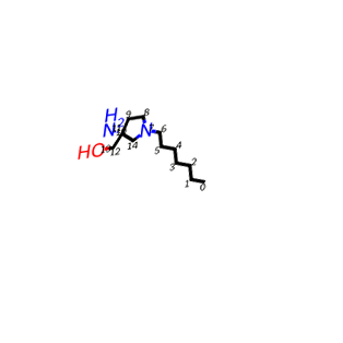 CCCCCCCN1CC[C@](N)(CO)C1